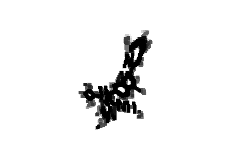 Cc1cc(-c2ccccn2)nc2cc(-c3nc(C4CCC4)n4ccnc(N)c34)ccc12